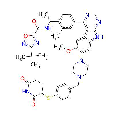 COc1cc2c(cc1N1CCN(Cc3ccc(SC4CCC(=O)NC4=O)cc3)CC1)[nH]c1ncnc(-c3ccc([C@@H](C)NC(=O)c4nc(C(C)(C)C)no4)c(C)c3)c12